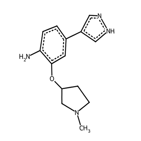 CN1CCC(Oc2cc(-c3cn[nH]c3)ccc2N)C1